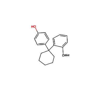 COc1ccccc1C1(c2ccc(O)cc2)CCCCC1